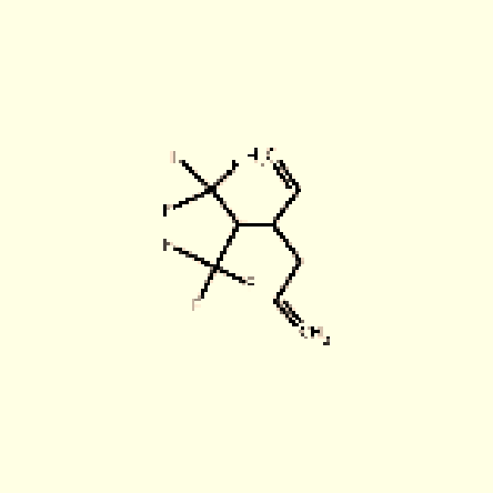 C=CCC(C=C)C(C(F)(F)F)C(F)(F)F